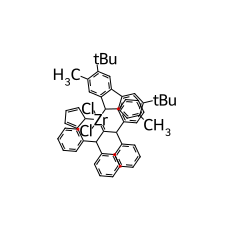 Cc1cc2c(cc1C(C)(C)C)-c1cc(C(C)(C)C)c(C)cc1[CH]2[Zr]([Cl])([Cl])(=[C](C(c1ccccc1)c1ccccc1)C(c1ccccc1)c1ccccc1)[CH]1C=CC=C1